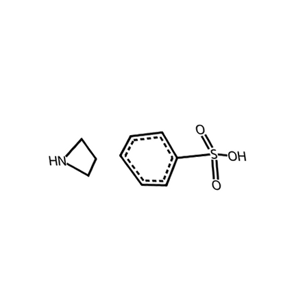 C1CNC1.O=S(=O)(O)c1ccccc1